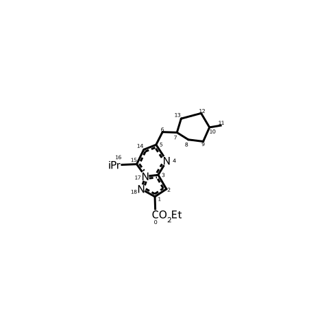 CCOC(=O)c1cc2nc(CC3CCC(C)CC3)cc(C(C)C)n2n1